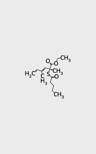 C=C/C(C)=C/[C@@](C)(SC(=O)CCCC)C(=O)OCC